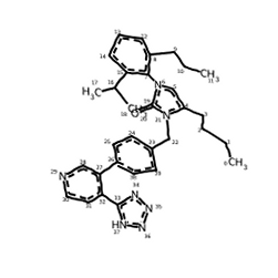 CCCCc1cn(-c2c(CCC)cccc2C(C)C)c(=O)n1Cc1ccc(-c2cnccc2-c2nnn[nH]2)cc1